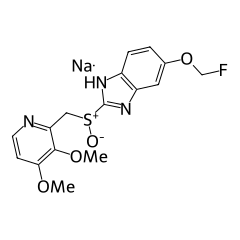 COc1ccnc(C[S+]([O-])c2nc3cc(OCF)ccc3[nH]2)c1OC.[Na]